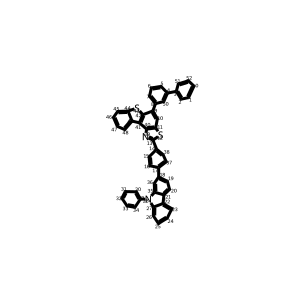 c1ccc(-c2cccc(-c3cc4sc(-c5ccc(-c6ccc7c8ccccc8n(-c8ccccc8)c7c6)cc5)nc4c4c3sc3ccccc34)c2)cc1